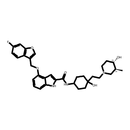 C[C@H]1CN(CCC2(O)CCC(NC(=O)c3cc4c(OCc5coc6cc(F)ccc56)cccc4[nH]3)CC2)CC[C@@H]1O